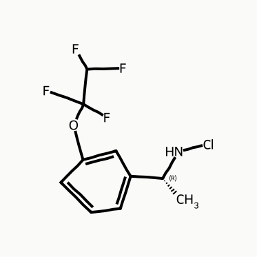 C[C@@H](NCl)c1cccc(OC(F)(F)C(F)F)c1